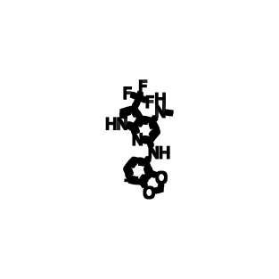 CNc1cc(Nc2cc[c]c3c2OCO3)nc2[nH]cc(C(F)(F)F)c12